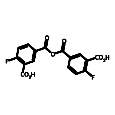 O=C(OC(=O)c1ccc(F)c(C(=O)O)c1)c1ccc(F)c(C(=O)O)c1